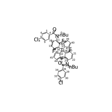 CCCCN(C(=O)c1ccc(Cl)cc1)c1ccc(F)[c]([Ti]([c]2c(F)ccc(N(CCCC)C(=O)c3ccc(Cl)cc3)c2F)([CH]2C=CC=C2)[CH]2C=CC=C2)c1F